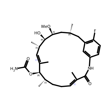 CO[C@H]1C[C@H](C)Cc2cc(ccc2F)NC(=O)/C(C)=C/CC[C@H](C)[C@@H](OC(N)=O)/C(C)=C/[C@H](C)[C@H]1O